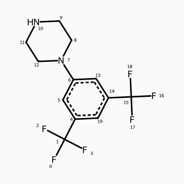 FC(F)(F)c1cc(N2CCNCC2)cc(C(F)(F)F)c1